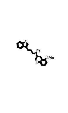 CCN(CCCc1csc2ccccc12)C1COc2cccc(OC)c2C1